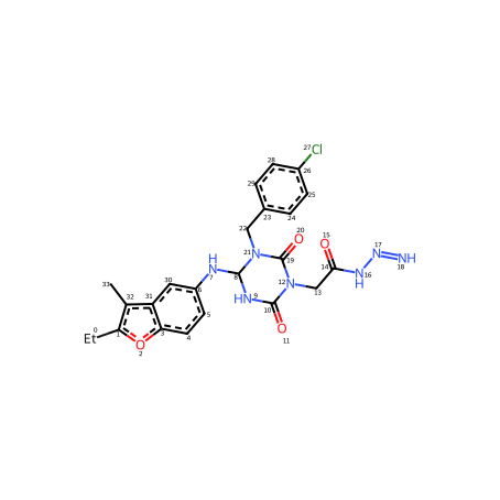 CCc1oc2ccc(NC3NC(=O)N(CC(=O)NN=N)C(=O)N3Cc3ccc(Cl)cc3)cc2c1C